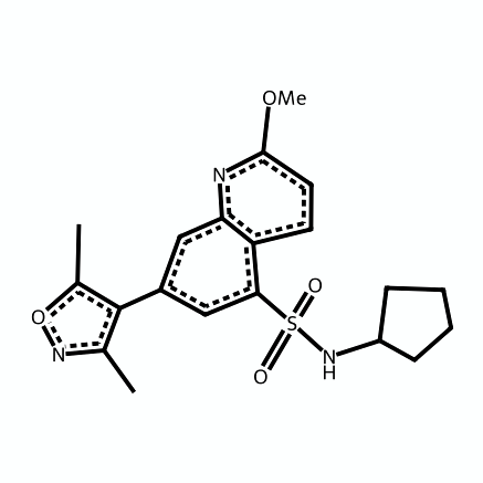 COc1ccc2c(S(=O)(=O)NC3CCCC3)cc(-c3c(C)noc3C)cc2n1